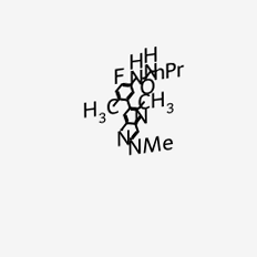 CCCNC(=O)Nc1cc(-c2cc3cnc(NC)cc3nc2C)c(C)cc1F